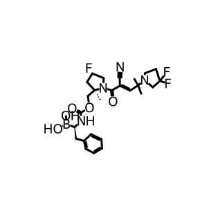 CC(C)(C=C(C#N)C(=O)N1C[C@@H](F)C[C@]1(C)COC(=O)N[C@@H](Cc1ccccc1)B(O)O)N1CCC(F)(F)C1